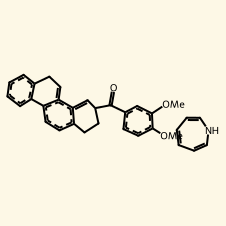 C1=CC=CNC=C1.COc1ccc(C(=O)C2C=c3c(ccc4c3=CCc3ccccc3-4)CC2)cc1OC